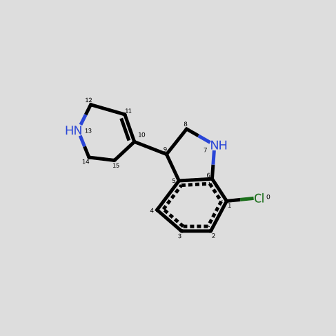 Clc1cccc2c1NCC2C1=CCNCC1